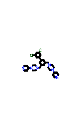 Clc1cc(Cl)cc(-c2cc(CN3CCN(c4ccncc4)CC3)cc(CN3CCN(c4ccncc4)CC3)c2)c1